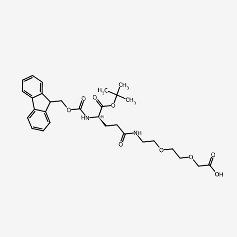 CC(C)(C)OC(=O)[C@@H](CCC(=O)NCCOCCOCC(=O)O)NC(=O)OCC1c2ccccc2-c2ccccc21